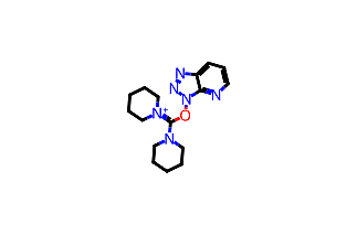 c1cnc2c(c1)nnn2OC(N1CCCCC1)=[N+]1CCCCC1